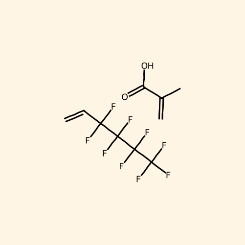 C=C(C)C(=O)O.C=CC(F)(F)C(F)(F)C(F)(F)C(F)(F)F